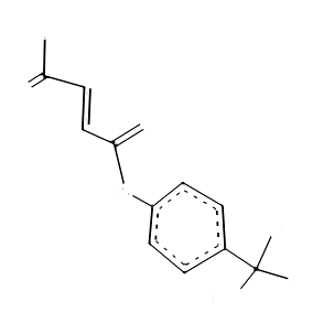 CC(C)(C)c1ccc(NC(=O)/C=C/C(=O)O)cc1